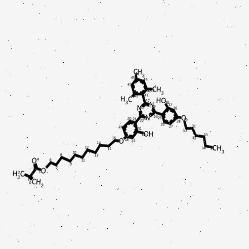 C=C(C)C(=O)OCCCCCCCCCCCOc1ccc(-c2nc(-c3ccc(OCCCCCC)cc3O)nc(-c3c(C)cc(C)cc3C)n2)c(O)c1